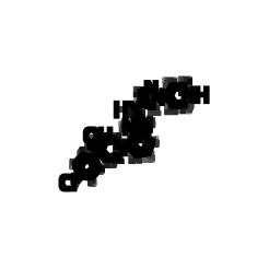 OCC1(c2ccc(Cl)cc2)CCN(c2cccn3nc(Nc4cnn(C5CCNCC5)c4)nc23)CC1